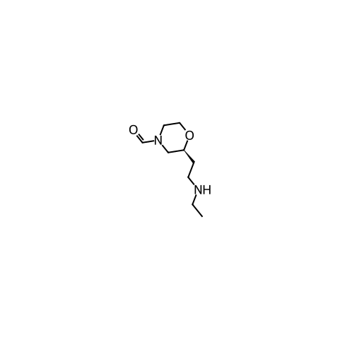 CCNCC[C@H]1CN(C=O)CCO1